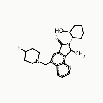 CC1c2c(cc(CN3CCC(F)CC3)c3cccnc23)C(=O)N1[C@H]1CCCC[C@@H]1O